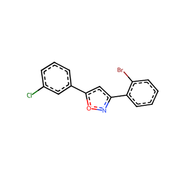 Clc1cccc(-c2cc(-c3ccccc3Br)no2)c1